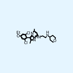 CCOc1cc(Cl)c(-c2c(C)nn3c(NCCNC4CCOCC4)cc(C)nc23)c(Cl)c1